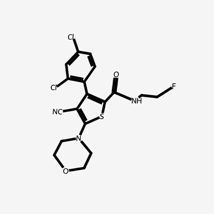 N#Cc1c(N2CCOCC2)sc(C(=O)NCCF)c1-c1ccc(Cl)cc1Cl